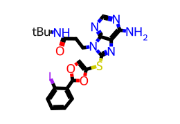 CC(C)(C)NC(=O)CCn1c(SC2=COC(c3ccccc3I)O2)nc2c(N)ncnc21